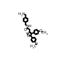 COc1ccc(-c2noc(CC(=O)NCc3ccc(CN)cc3)c2-c2ccc(OC)cc2)cc1